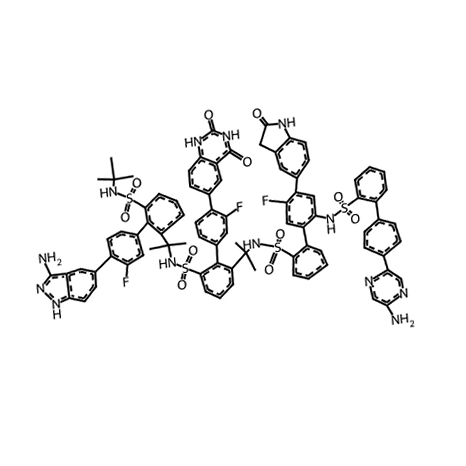 CC(C)(C)NS(=O)(=O)c1cccc(C(C)(C)NS(=O)(=O)c2cccc(C(C)(C)NS(=O)(=O)c3ccccc3-c3cc(F)c(-c4ccc5c(c4)CC(=O)N5)cc3NS(=O)(=O)c3ccccc3-c3ccc(-c4cnc(N)cn4)cc3)c2-c2ccc(-c3ccc4[nH]c(=O)[nH]c(=O)c4c3)c(F)c2)c1-c1ccc(-c2ccc3[nH]nc(N)c3c2)c(F)c1